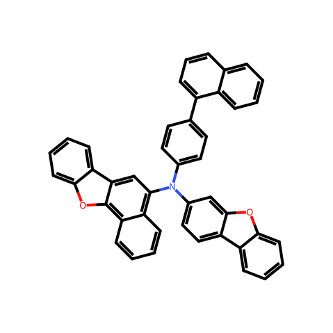 c1ccc2c(-c3ccc(N(c4ccc5c(c4)oc4ccccc45)c4cc5c6ccccc6oc5c5ccccc45)cc3)cccc2c1